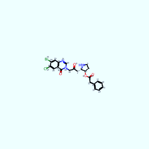 O=C(C[C@@H]1NCC[C@H]1OC(=O)Cc1ccccc1)Cn1cnc2cc(Br)c(Cl)cc2c1=O